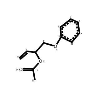 C=CC(COc1ccccc1)OC(C)=O